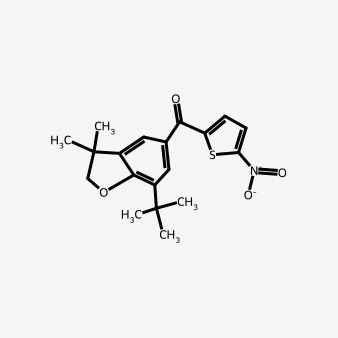 CC(C)(C)c1cc(C(=O)c2ccc([N+](=O)[O-])s2)cc2c1OCC2(C)C